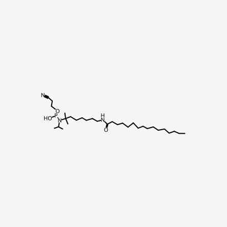 CCCCCCCCCCCCCCCC(=O)NCCCCCCC(C)(C)N(C(C)C)P(O)OCCC#N